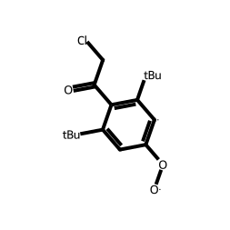 CC(C)(C)c1[c]c(O[O])cc(C(C)(C)C)c1C(=O)CCl